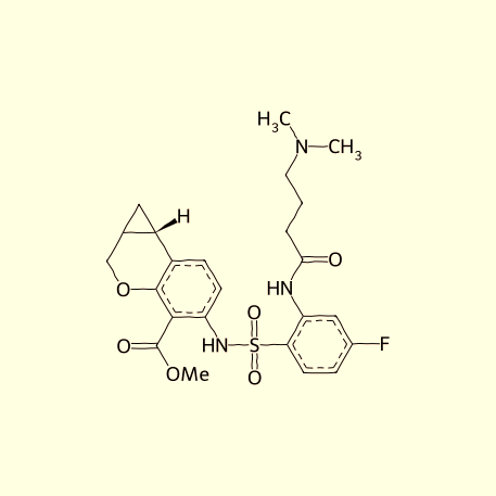 COC(=O)c1c(NS(=O)(=O)c2ccc(F)cc2NC(=O)CCCN(C)C)ccc2c1OCC1C[C@H]21